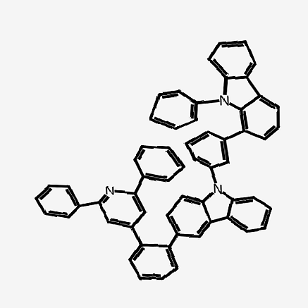 c1ccc(-c2cc(-c3ccccc3-c3ccc4c(c3)c3ccccc3n4-c3cccc(-c4cccc5c6ccccc6n(-c6ccccc6)c45)c3)cc(-c3ccccc3)n2)cc1